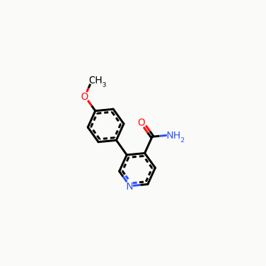 COc1ccc(-c2cnccc2C(N)=O)cc1